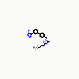 CCCCc1nc(Cl)n(Cc2ccc(-c3cccc(-c4nnn[nH]4)c3)cc2)n1